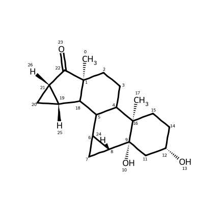 C[C@]12CCC3C(C4C[C@H]4[C@]4(O)C[C@@H](O)CC[C@]34C)C1[C@@H]1C[C@@H]1C2=O